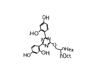 CCCCCCCCC(CCCCCC)COc1nc(-c2ccc(O)cc2O)nc(-c2ccc(O)cc2O)n1